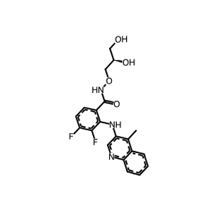 Cc1c(Nc2c(C(=O)NOC[C@H](O)CO)ccc(F)c2F)cnc2ccccc12